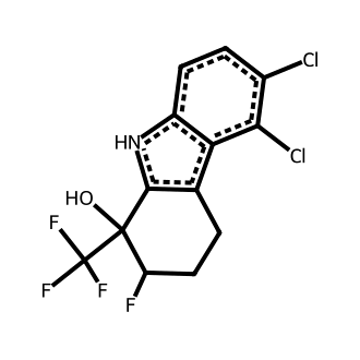 OC1(C(F)(F)F)c2[nH]c3ccc(Cl)c(Cl)c3c2CCC1F